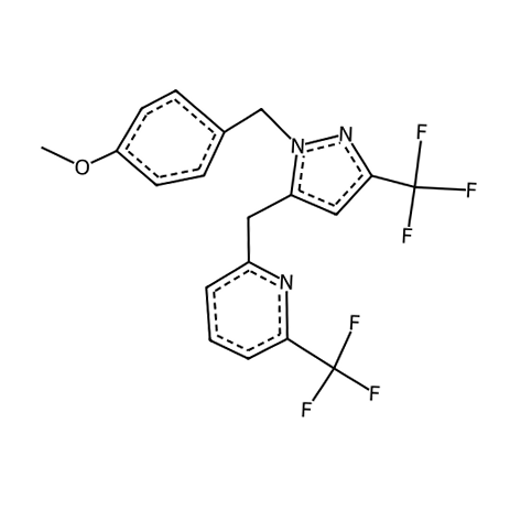 COc1ccc(Cn2nc(C(F)(F)F)cc2Cc2cccc(C(F)(F)F)n2)cc1